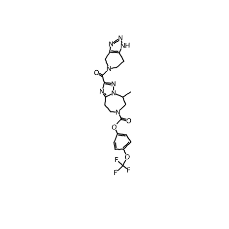 CC1CN(C(=O)Oc2ccc(OC(F)(F)F)cc2)CCc2nc(C(=O)N3CCc4[nH]nnc4C3)nn21